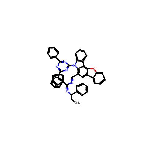 CCC(/N=C(\N=C\c1cc2c3ccccc3oc2c2c3ccccc3n(-c3nc(-c4ccccc4)nc(-c4ccccc4)n3)c12)c1ccccc1)c1ccccc1